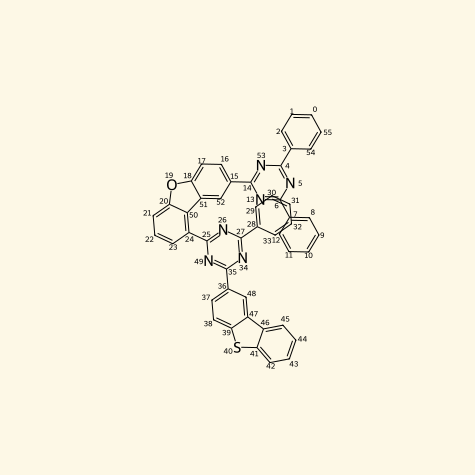 c1ccc(-c2nc(-c3ccccc3)nc(-c3ccc4oc5cccc(-c6nc(-c7ccccc7)nc(-c7ccc8sc9ccccc9c8c7)n6)c5c4c3)n2)cc1